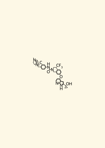 CN1CCN(Cc2ccc(NC(=O)N3Cc4cc(Oc5ccnc6[nH]c(C7(O)CC7)cc56)ccc4C(C(F)(F)F)C3)cc2C(F)(F)F)CC1